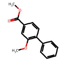 COC(=O)c1ccc(-c2ccccc2)c(OC)c1